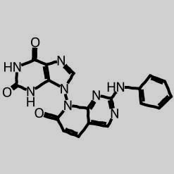 O=c1[nH]c(=O)c2ncn(-n3c(=O)ccc4cnc(Nc5ccccc5)nc43)c2[nH]1